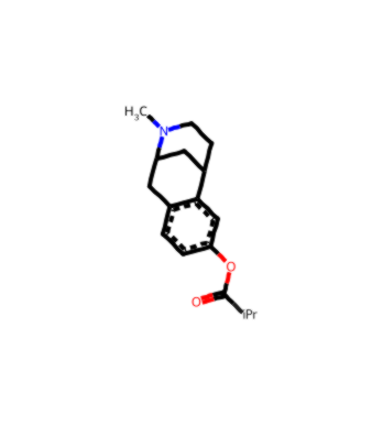 CC(C)C(=O)Oc1ccc2c(c1)C1CCN(C)C(C2)C1